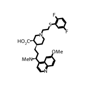 CN[C@@H](CC[C@@H]1CCN(CCSc2cc(F)ccc2F)C[C@@H]1C(=O)O)c1ccnc2ccc(OC)cc12